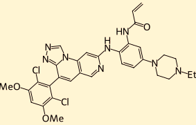 C=CC(=O)Nc1cc(N2CCN(CC)CC2)ccc1Nc1cc2c(cn1)cc(-c1c(Cl)c(OC)cc(OC)c1Cl)c1nncn12